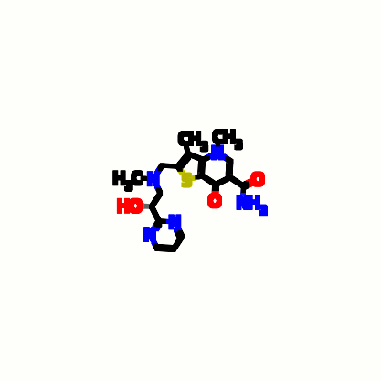 Cc1c(CN(C)C[C@@H](O)c2ncccn2)sc2c(=O)c(C(N)=O)cn(C)c12